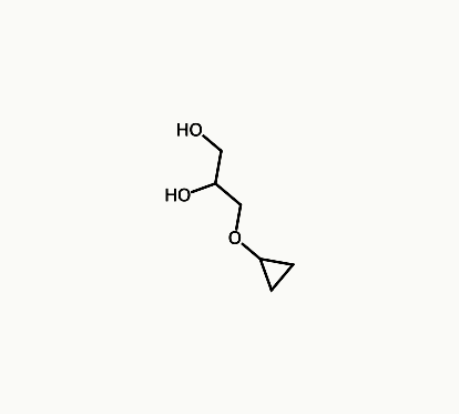 OCC(O)COC1CC1